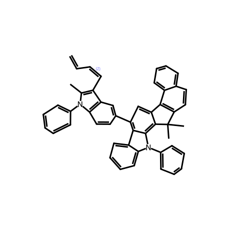 C=C/C=C\c1c(C)n(-c2ccccc2)c2ccc(-c3cc4c(c5c3c3ccccc3n5-c3ccccc3)C(C)(C)c3ccc5ccccc5c3-4)cc12